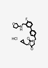 Cl.O=C1CN(Cc2ccc(-c3ccc(F)c(CNC4CCOC4)c3)cc2)C(=O)N1CC1CC1